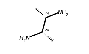 C[C@H](N)[C@H](C)N